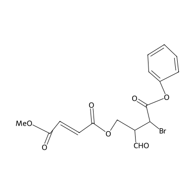 COC(=O)C=CC(=O)OCC(C=O)C(Br)C(=O)Oc1ccccc1